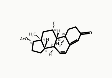 CC(=O)O[C@H]1CC[C@H]2[C@@H]3C=CC4=CC(=O)CC[C@]4(C)[C@H]3[C@@H](F)C[C@]12C